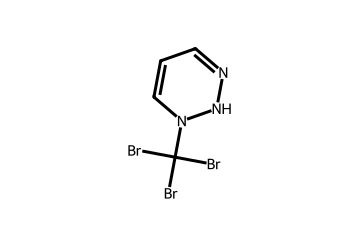 BrC(Br)(Br)N1C=CC=NN1